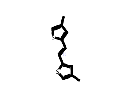 Cc1csc(/C=C/c2cc(C)cs2)c1